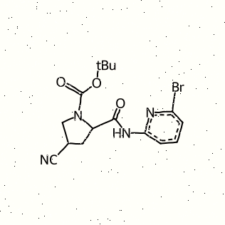 CC(C)(C)OC(=O)N1CC(C#N)CC1C(=O)Nc1cccc(Br)n1